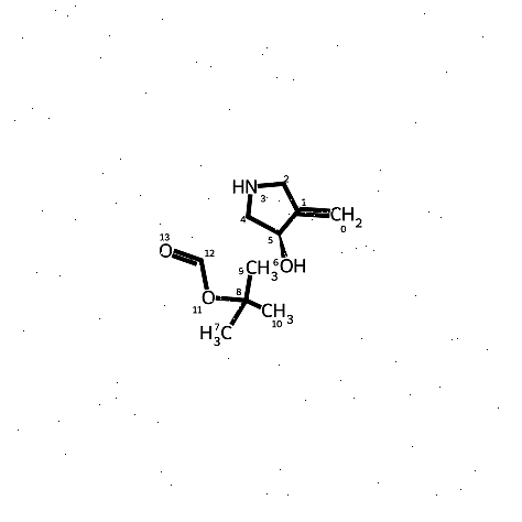 C=C1CNC[C@@H]1O.CC(C)(C)OC=O